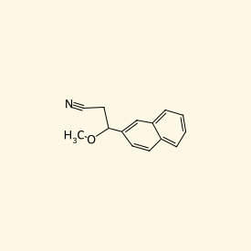 COC(CC#N)c1ccc2ccccc2c1